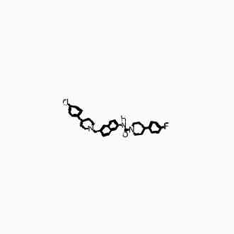 O=C(Nc1ccc2cc(CN3CCC(c4ccc(Cl)cc4)CC3)ccc2c1)N1CCC(c2ccc(F)cc2)CC1